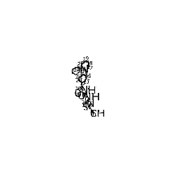 C#Cc1nc(NC(=O)NC(CO)c2ccc(-n3ccccc3=O)cc2)cs1